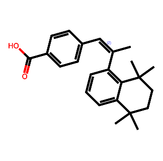 C/C(=C/c1ccc(C(=O)O)cc1)c1cccc2c1C(C)(C)CCC2(C)C